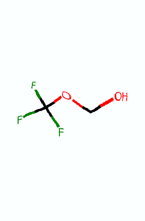 OCOC(F)(F)F